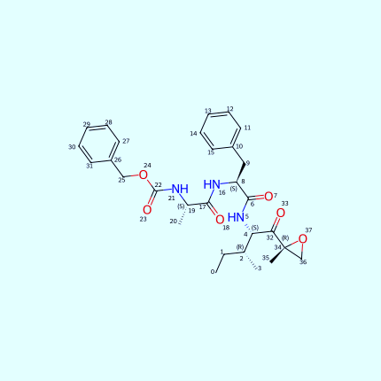 CC[C@@H](C)[C@H](NC(=O)[C@H](Cc1ccccc1)NC(=O)[C@H](C)NC(=O)OCc1ccccc1)C(=O)[C@@]1(C)CO1